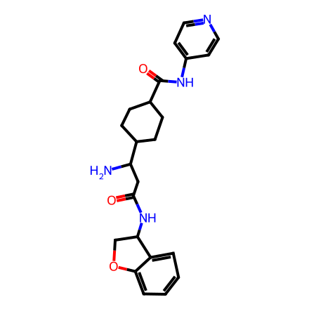 NC(CC(=O)NC1COc2ccccc21)C1CCC(C(=O)Nc2ccncc2)CC1